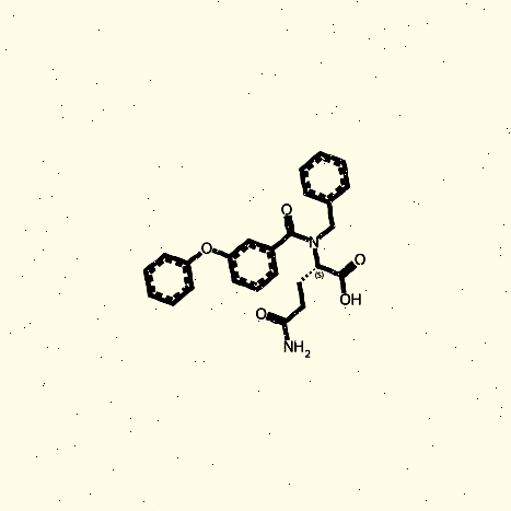 NC(=O)CC[C@@H](C(=O)O)N(Cc1ccccc1)C(=O)c1cccc(Oc2ccccc2)c1